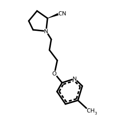 Cc1ccc(OCCCN2CCC[C@H]2C#N)nc1